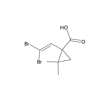 CC1(C)CC1(C=C(Br)Br)C(=O)O